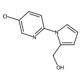 OCc1cccn1-c1ccc(Cl)cn1